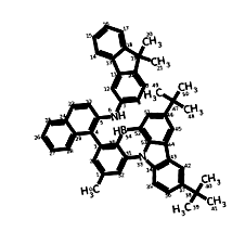 Cc1cc(-c2c(Nc3ccc4c(c3)-c3ccccc3C4(C)C)ccc3ccccc23)c2c(c1)-n1c3ccc(C(C)(C)C)cc3c3cc(C(C)(C)C)cc(c31)B2